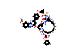 COc1ccc(-c2cc(O[C@@H]3C[C@H]4C(=O)N[C@]5(C(=O)NS(=O)(=O)C6CC6)C[C@H]5/C=C\CCCCC[C@H](NC(=O)OC5CCCC5)C(=O)N4C3)n3nc4ccc(OC)cc4c3n2)cc1